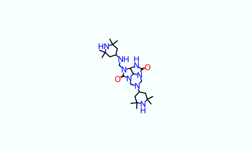 CC1(C)CC(NCN2C(=O)N3CN(C4CC(C)(C)NC(C)(C)C4)CN4C(=O)NC2C43)CC(C)(C)N1